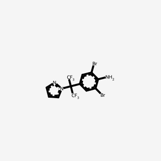 Nc1c(Br)cc(C(n2cccn2)(C(F)(F)F)C(F)(F)F)cc1Br